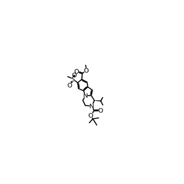 COC(=O)c1cc2cc3n(c2cc1S(C)(=O)=O)CCN(C(=O)OC(C)(C)C)[C@@H]3C(C)C